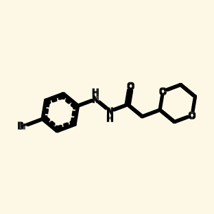 O=C(CC1COCCO1)NNc1ccc(Br)cc1